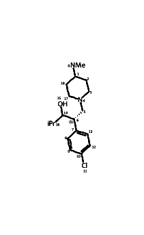 CNC1CCN(C[C@H](c2ccc(Cl)cc2)C(O)C(C)C)CC1